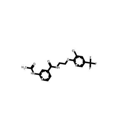 CC(=O)Nc1cc(C(=O)NCCOc2ncc(C(F)(F)F)cc2Cl)ccn1